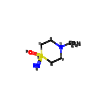 N=S1(=O)CCN(C(=O)O)CC1